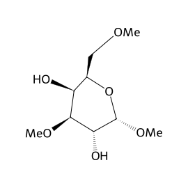 COC[C@H]1O[C@H](OC)[C@H](O)[C@@H](OC)[C@H]1O